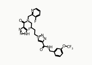 O=C(NCc1cccc(OC(F)(F)F)c1)c1cn(CCC(F)CN(Cc2ncccc2F)C(=O)c2c[nH]nn2)nn1